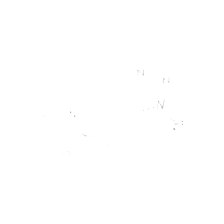 CCN1C(=O)c2ccccc2-c2c(nnn2CC)-c2ccccc21